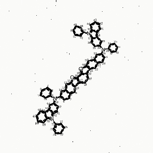 c1ccc(N(c2ccc3cc4c(cc3c2)oc2c4ccc3c4cc5ccc(N(c6ccccc6)c6ccc7c(c6)c6ccccc6n7-c6ccccc6)cc5cc4oc32)c2ccc3c(c2)c2ccccc2n3-c2ccccc2)cc1